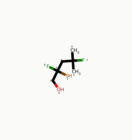 CC(C)(F)CC(F)(S)CO